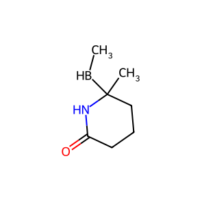 CBC1(C)CCCC(=O)N1